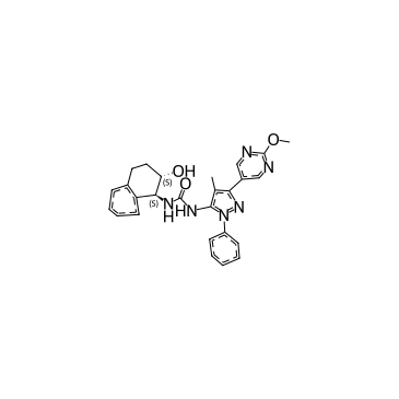 COc1ncc(-c2nn(-c3ccccc3)c(NC(=O)N[C@H]3c4ccccc4CC[C@@H]3O)c2C)cn1